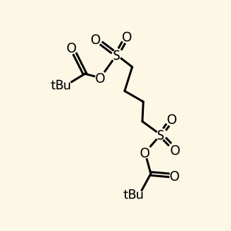 CC(C)(C)C(=O)OS(=O)(=O)CCCCS(=O)(=O)OC(=O)C(C)(C)C